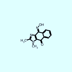 Cc1nc2c(n1C)C(=O)c1ccccc1/C2=N\O